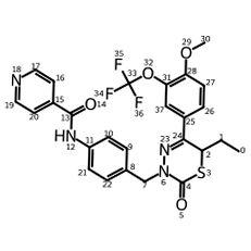 CCC1SC(=O)N(Cc2ccc(NC(=O)c3ccncc3)cc2)N=C1c1ccc(OC)c(OC(F)(F)F)c1